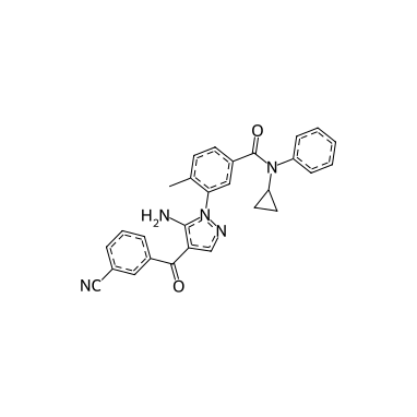 Cc1ccc(C(=O)N(c2ccccc2)C2CC2)cc1-n1ncc(C(=O)c2cccc(C#N)c2)c1N